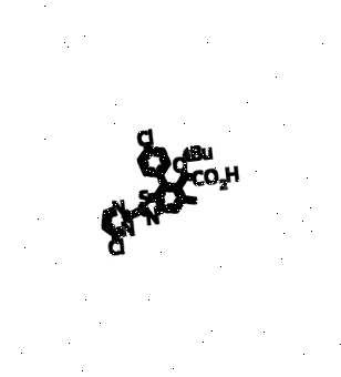 Cc1cc2nc(-c3nccc(Cl)n3)sc2c(-c2ccc(Cl)cc2)c1C(OC(C)(C)C)C(=O)O